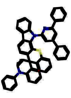 c1ccc(-c2cc(-c3ccccc3)nc(-n3c4ccccc4c4ccc5c(c43)Sc3ccccc3C53c4ccccc4N(c4ccccc4)c4ccccc43)c2)cc1